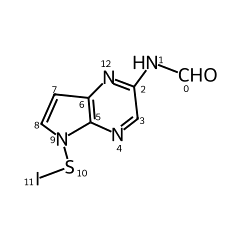 O=CNc1cnc2c(ccn2SI)n1